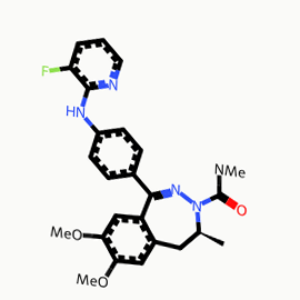 CNC(=O)N1N=C(c2ccc(Nc3ncccc3F)cc2)c2cc(OC)c(OC)cc2C[C@@H]1C